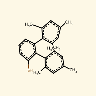 Cc1cc(C)c(-c2cccc(S)c2-c2c(C)cc(C)cc2C)c(C)c1